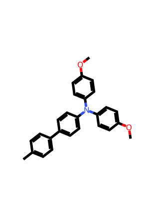 COc1ccc(N(c2ccc(OC)cc2)c2ccc(-c3ccc(C)cc3)cc2)cc1